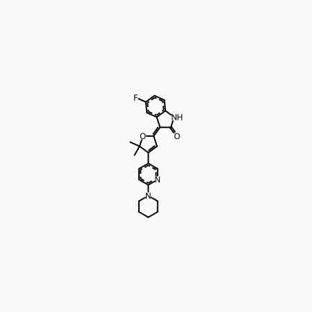 CC1(C)O/C(=C2/C(=O)Nc3ccc(F)cc32)C=C1c1ccc(N2CCCCC2)nc1